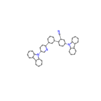 N#Cc1cc(-n2c3ccccc3c3ccccc32)ccc1-c1cccc(-c2ccc(-n3c4ccccc4c4ccccc43)cn2)c1